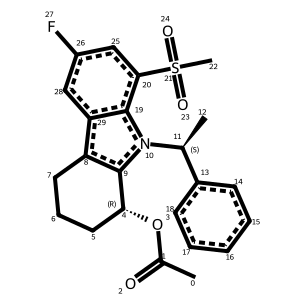 CC(=O)O[C@@H]1CCCc2c1n([C@@H](C)c1ccccc1)c1c(S(C)(=O)=O)cc(F)cc21